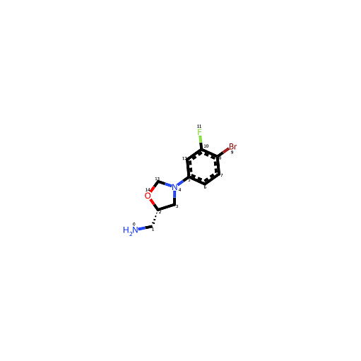 NC[C@H]1CN(c2ccc(Br)c(F)c2)CO1